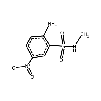 CNS(=O)(=O)c1cc([N+](=O)[O-])ccc1N